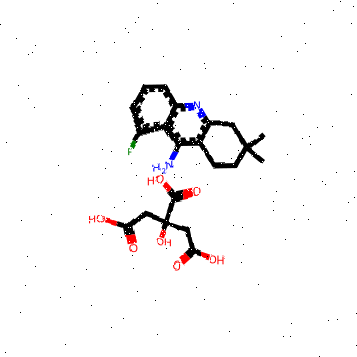 CC1(C)CCc2c(nc3cccc(F)c3c2N)C1.O=C(O)CC(O)(CC(=O)O)C(=O)O